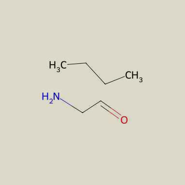 CCCC.NCC=O